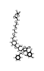 Cc1cc(C)c(C2=C(OCc3ccccc3)[C@]3(CC[C@H](OC4CCN(CCOCCOCCOCC(=O)OC(C)(C)C)CC4)CC3)OC2=O)c(C)c1